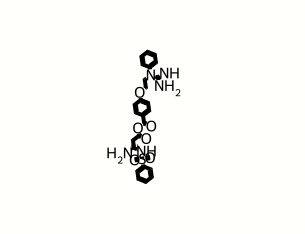 N=C(N)N(CCOc1ccc(C(=O)OC(=O)C[C@@H](N)NS(=O)(=O)c2ccccc2)cc1)c1ccccc1